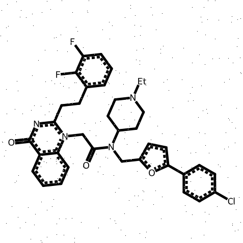 CCN1CCC(N(Cc2ccc(-c3ccc(Cl)cc3)o2)C(=O)Cn2c(CCc3cccc(F)c3F)nc(=O)c3ccccc32)CC1